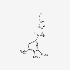 COc1cc(C(=O)Nc2nc(CCl)cs2)cc(OC)c1OC